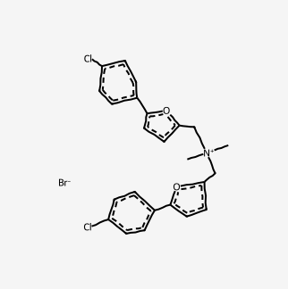 C[N+](C)(Cc1ccc(-c2ccc(Cl)cc2)o1)Cc1ccc(-c2ccc(Cl)cc2)o1.[Br-]